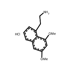 COc1cc(OC)c2c(CCN)cccc2c1.Cl